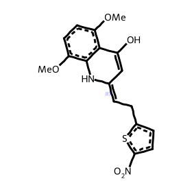 COc1ccc(OC)c2c1N/C(=C/Cc1ccc([N+](=O)[O-])s1)C=C2O